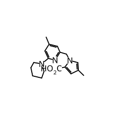 Cc1cc(Cn2cc(C)cc2C(=O)O)nc(N2CCCCC2)c1